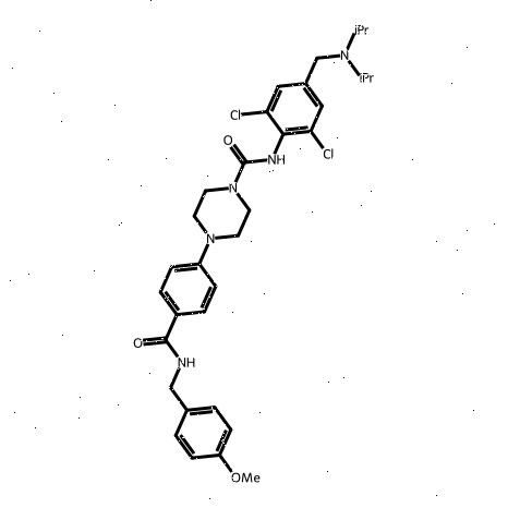 COc1ccc(CNC(=O)c2ccc(N3CCN(C(=O)Nc4c(Cl)cc(CN(C(C)C)C(C)C)cc4Cl)CC3)cc2)cc1